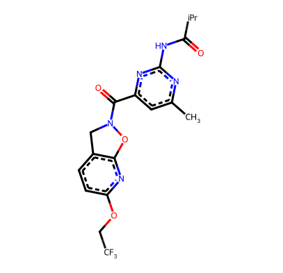 Cc1cc(C(=O)N2Cc3ccc(OCC(F)(F)F)nc3O2)nc(NC(=O)C(C)C)n1